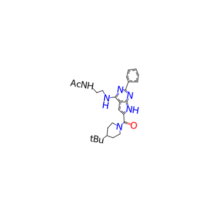 CC(=O)NCCNc1nc(-c2ccccc2)nc2[nH]c(C(=O)N3CCC(C(C)(C)C)CC3)cc12